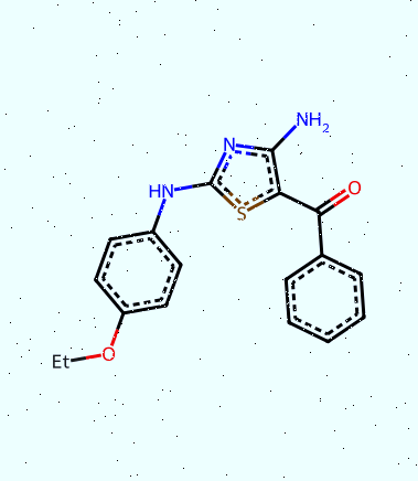 CCOc1ccc(Nc2nc(N)c(C(=O)c3ccccc3)s2)cc1